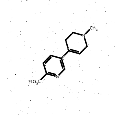 CCOC(=O)c1ccc(C2=CCN(C)CC2)cn1